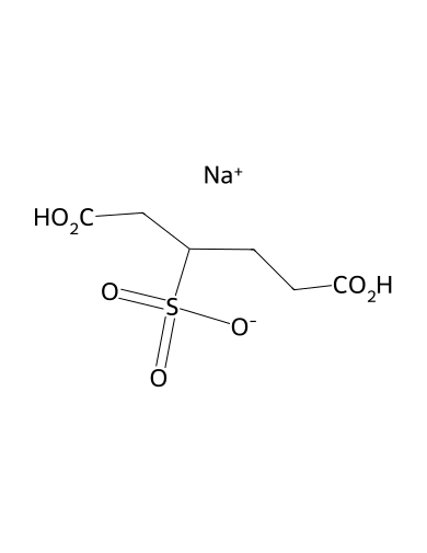 O=C(O)CCC(CC(=O)O)S(=O)(=O)[O-].[Na+]